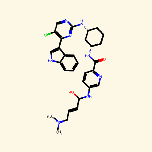 CN(C)C/C=C/C(O)Nc1ccc(C(=O)N[C@H]2CCC[C@@H](Nc3ncc(Cl)c(-c4c[nH]c5ccccc45)n3)C2)nc1